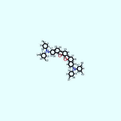 Cc1ccc(N(c2cc(C)cc(C)c2)c2ccc3c(ccc4c5ccc6c7ccc8cc(N(c9ccc(C)cc9)c9cc(C)cc(C)c9)ccc8c7oc6c5oc34)c2)cc1